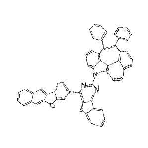 c1ccc(C2=C(c3ccccc3)c3cccc4c3c3c5c2cccc5ccc3n4-c2nc(-c3ccc4c(c3)oc3cc5ccccc5cc34)c3sc4ccccc4c3n2)cc1